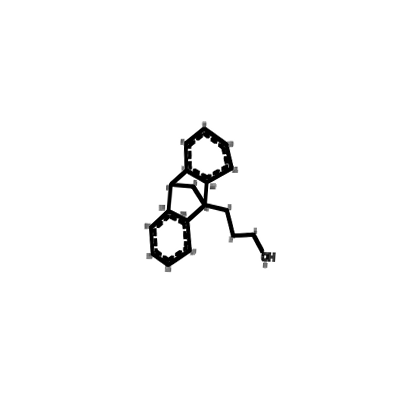 OCCCC12CC(c3ccccc31)c1ccccc12